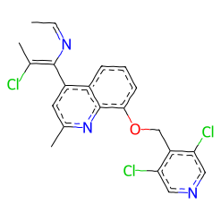 C/C=N\C(=C(/C)Cl)c1cc(C)nc2c(OCc3c(Cl)cncc3Cl)cccc12